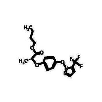 CCCCOC(=O)[C@@H](C)Oc1ccc(On2nccc2C(F)(F)F)cc1